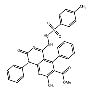 COC(=O)c1c(C)nc2c(c(NNS(=O)(=O)c3ccc(C)cc3)nc(=O)n2-c2ccccc2)c1-c1ccccc1